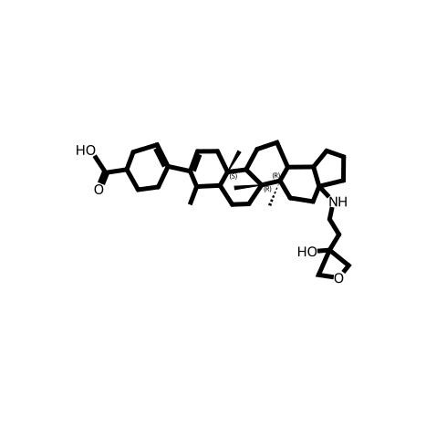 CC1C(C2=CCC(C(=O)O)CC2)=CC[C@@]2(C)C1CC[C@]1(C)C2CCC2C3CCCC3(NCCC3(O)COC3)CC[C@]21C